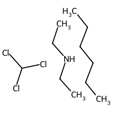 CCCCCC.CCNCC.ClC(Cl)Cl